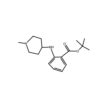 CN1CCC(Nc2ccccc2C(=O)OC(C)(C)C)CC1